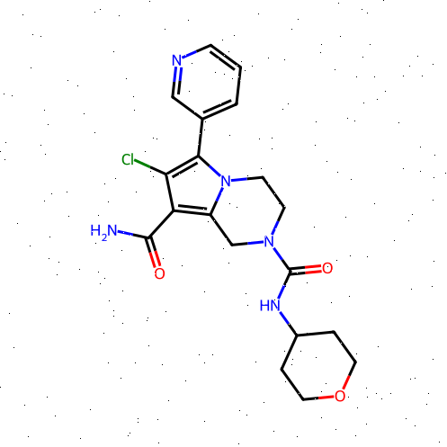 NC(=O)c1c(Cl)c(-c2cccnc2)n2c1CN(C(=O)NC1CCOCC1)CC2